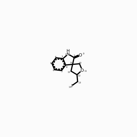 O=C1Nc2ccccc2C12COC(CI)C2